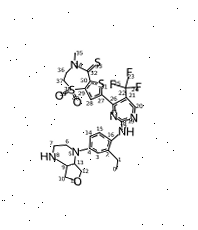 CCc1cc(N2CCNC3COCC32)ccc1Nc1ncc(C(F)(F)F)c(-c2cc3c(s2)C(=S)N(C)CCS3(=O)=O)n1